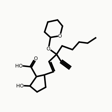 C#CC(C=CC1CCC(O)C1C(=O)O)(CCCCC)OC1CCCCO1